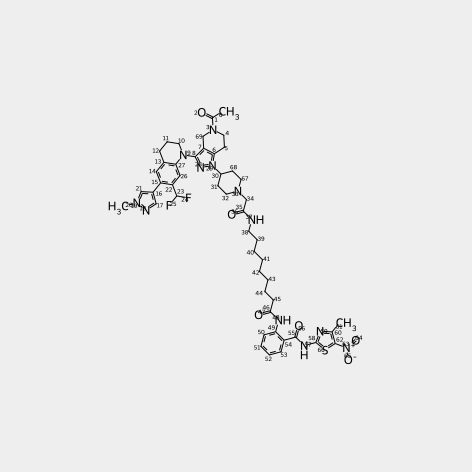 CC(=O)N1CCc2c(c(N3CCCc4cc(-c5cnn(C)c5)c(C(F)F)cc43)nn2C2CCN(CC(=O)NCCCCCCCCC(=O)Nc3ccccc3C(=O)Nc3nc(C)c([N+](=O)[O-])s3)CC2)C1